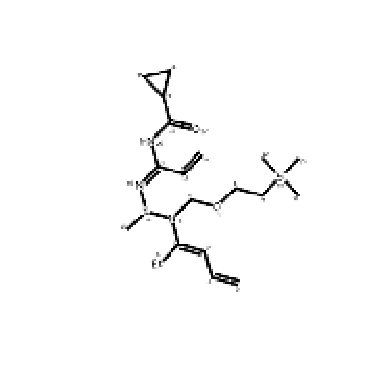 C=C/C=C(\CC)N(COCC[Si](C)(C)C)N(C)/N=C(\C=C)NC(=O)C1CC1